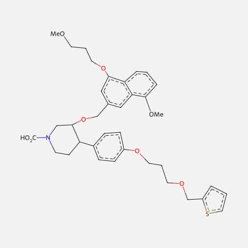 COCCCOc1cc(COC2CN(C(=O)O)CCC2c2ccc(OCCCOCc3cccs3)cc2)cc2c(OC)cccc12